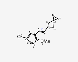 COc1nnc(Cl)cc1/C=C/C1CC2(CC2)C1